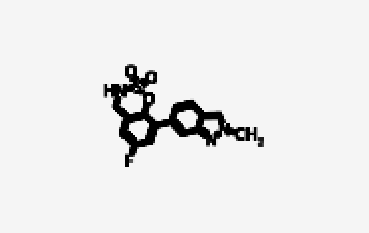 Cn1cc2ccc(-c3cc(F)cc4c3OS(=O)(=O)NC4)cc2n1